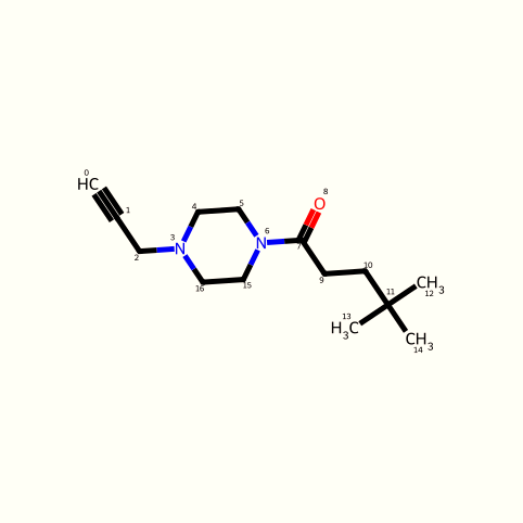 C#CCN1CCN(C(=O)CCC(C)(C)C)CC1